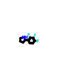 Fc1ccc(C2CCCN2)c(F)c1F